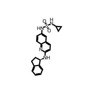 O=S(=O)(Nc1ccc2nc(N[C@@H]3CCc4ccccc43)ccc2c1)NC1CC1